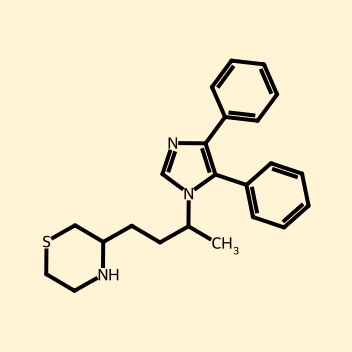 CC(CCC1CSCCN1)n1cnc(-c2ccccc2)c1-c1ccccc1